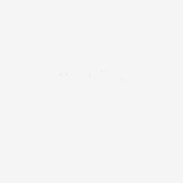 CCC1(F)CCCS1(=O)=O